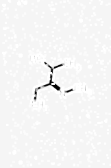 CCC(=NC)C(C)O